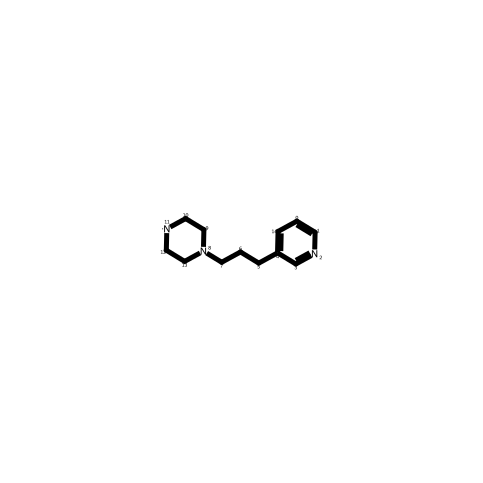 c1cncc(CCCN2CC[N]CC2)c1